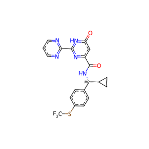 O=C(N[C@@H](c1ccc(SC(F)(F)F)cc1)C1CC1)c1cc(=O)[nH]c(-c2ncccn2)n1